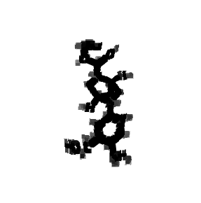 CC(C)(C)OC(=O)N1C[C@@H]2C[C@H]1CN2c1cc(C(=O)O)c(N)cn1